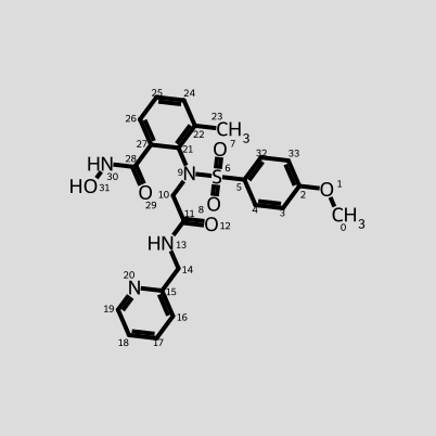 COc1ccc(S(=O)(=O)N(CC(=O)NCc2ccccn2)c2c(C)cccc2C(=O)NO)cc1